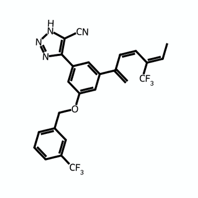 C=C(/C=C\C(=C/C)C(F)(F)F)c1cc(OCc2cccc(C(F)(F)F)c2)cc(-c2nn[nH]c2C#N)c1